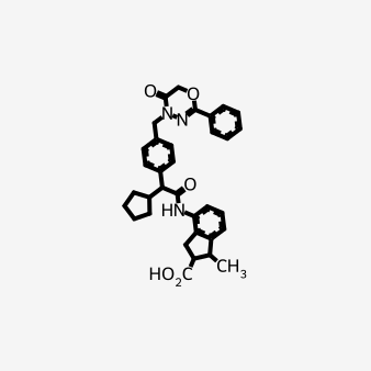 CC1c2cccc(NC(=O)C(c3ccc(CN4N=C(c5ccccc5)OCC4=O)cc3)C3CCCC3)c2CC1C(=O)O